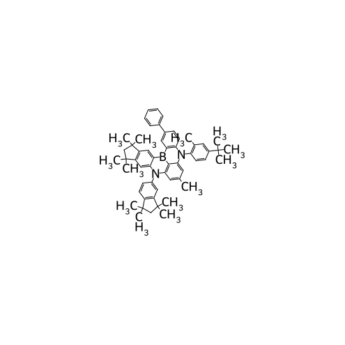 Cc1cc2c3c(c1)N(c1ccc(C(C)(C)C)cc1C)c1ccc(-c4ccccc4)cc1B3c1cc3c(cc1N2c1ccc2c(c1)C(C)(C)CC2(C)C)C(C)(C)CC3(C)C